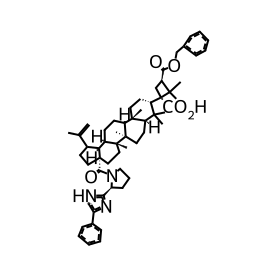 C=C(C)C1CC[C@]2(C(=O)N3CCC[C@H]3c3nc(-c4ccccc4)c[nH]3)CC[C@]3(C)[C@H](CC[C@@H]4[C@]5(C)CC[C@H]([C@@]6(C(=O)O)C[C@@H](C(=O)OCc7ccccc7)C6(C)C)C(C)(C)[C@H]5CC[C@]43C)[C@@H]12